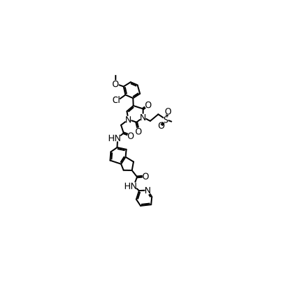 COc1cccc(-c2cn(CC(=O)Nc3ccc4c(c3)CC(C(=O)Nc3ccccn3)C4)c(=O)n(CCS(C)(=O)=O)c2=O)c1Cl